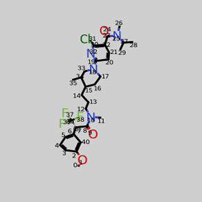 COc1cccc([C@@H](C(=O)N(C)CCCC2CCN(c3ccc(C(=O)N(C)C(C)C)c(Cl)n3)CC2C)C(F)(F)F)c1